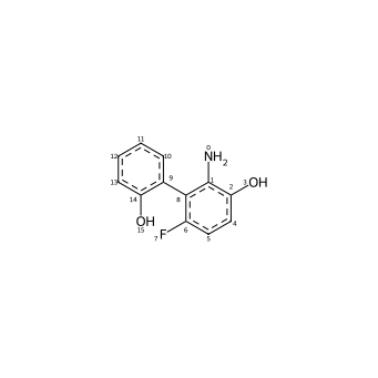 Nc1c(O)ccc(F)c1-c1ccccc1O